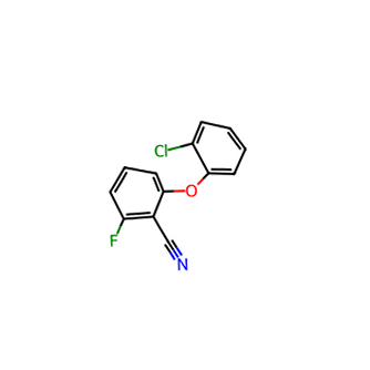 N#Cc1c(F)cccc1Oc1ccccc1Cl